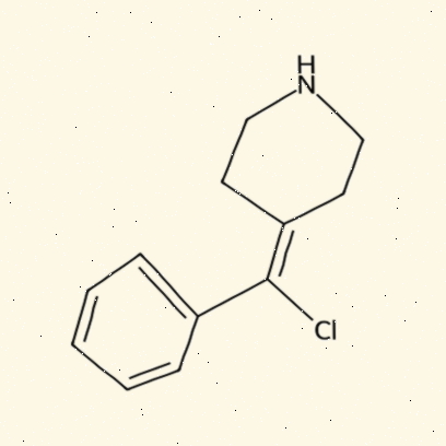 ClC(=C1CCNCC1)c1ccccc1